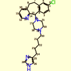 Clc1ccc2c(c1)CCc1cccnc1C2N1CCN(CCCCCc2c[nH]cn2)CC1